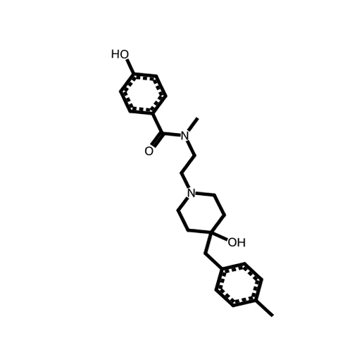 Cc1ccc(CC2(O)CCN(CCN(C)C(=O)c3ccc(O)cc3)CC2)cc1